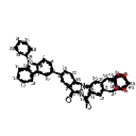 O=c1c2cc(-c3ccc4c(c3)c3ccccc3n4-c3ccccc3)ccc2n2c3cc4c(cc3c(=O)n12)C1c2ccccc2C4c2ccccc21